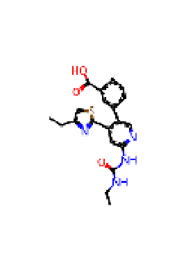 CCNC(=O)Nc1cc(-c2nc(CC)cs2)c(-c2cccc(C(=O)O)c2)cn1